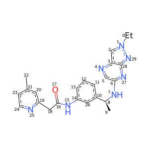 CCn1cc2ncc(N[C@@H](C)c3cccc(NC(=O)Cc4cc(C)ccn4)c3)nc2n1